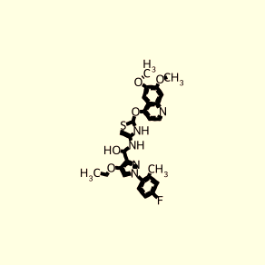 CCOc1cn(-c2ccc(F)cc2C)nc1C(O)NC1=CSC(Oc2ccnc3cc(OC)c(OC)cc23)N1